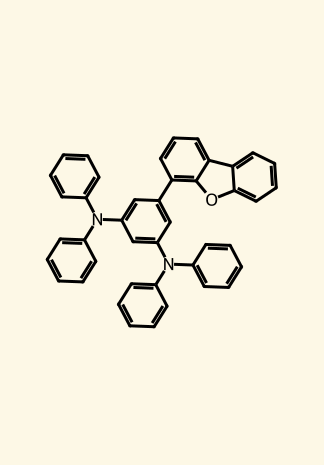 c1ccc(N(c2ccccc2)c2cc(-c3cccc4c3oc3ccccc34)cc(N(c3ccccc3)c3ccccc3)c2)cc1